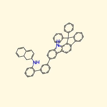 C1=CC2=CC=C(Nc3ccccc3-c3cccc(-c4ccc5[nH]c6c7c(ccc6c5c4)-c4ccccc4C7(c4ccccc4)c4ccccc4)c3)CC2C=C1